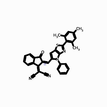 Cc1cc(C)c(-c2nc3c(cc(/C=C4\C(=O)c5ccccc5C4=C(C#N)C#N)n3-c3ccccc3)s2)c(C)c1